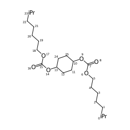 CC(C)CCCCCOC(=O)OC1CCC(OC(=O)OCCCCCC(C)C)CC1